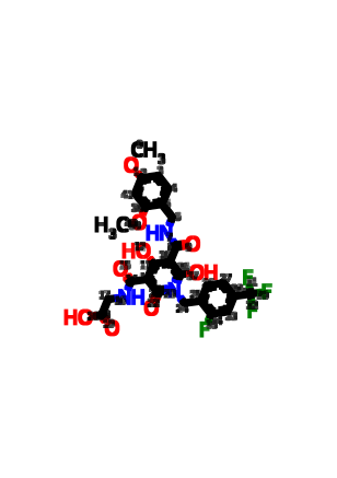 COc1ccc(CNC(=O)c2c(O)c(C(=O)NCC(=O)O)c(=O)n(Cc3ccc(C(F)(F)F)cc3F)c2O)c(OC)c1